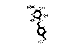 COc1ccc(CO[C@@H]2[C@@H](O)[C@@H](O)[C@@H](CO)O[C@H]2O)cc1